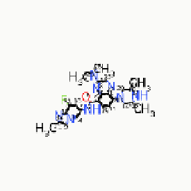 Cc1cn2cc(NC(=O)c3ccc(N4C[C@@H](C)N[C@H](C)C4)c4ncc(N(C)C)nc34)cc(F)c2n1